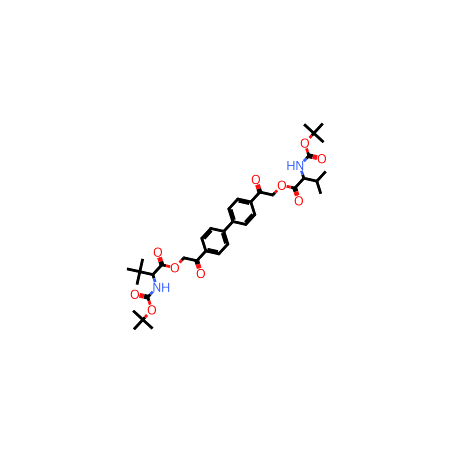 CC(C)C(NC(=O)OC(C)(C)C)C(=O)OCC(=O)c1ccc(-c2ccc(C(=O)COC(=O)C(NC(=O)OC(C)(C)C)C(C)(C)C)cc2)cc1